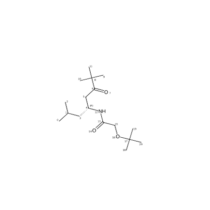 CC(C)C[C@H](CC(=O)C(C)(C)C)NC(=O)COC(C)(C)C